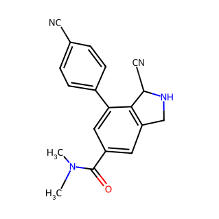 CN(C)C(=O)c1cc2c(c(-c3ccc(C#N)cc3)c1)C(C#N)NC2